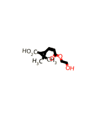 CC1(C)C(/C=C\C(=O)OCCO)C1C(=O)O